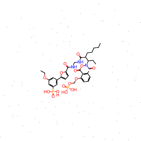 CCCCCC(C(=O)NCNC(=O)c1ccc(-c2cc(OCC)cc(P(=O)(O)O)c2)o1)C(CC)N(C=O)OC(=O)c1c(C)cccc1OCOP(=O)(O)O